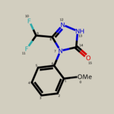 COc1ccccc1-n1c(C(F)F)n[nH]c1=O